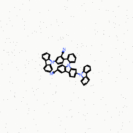 N#Cc1ccc2c(c1)c1ccc(-n3c4ccccc4c4ccccc43)cc1n2-c1ccccc1-c1ccc(-n2c3ccccc3c3ccccc32)cc1C#N